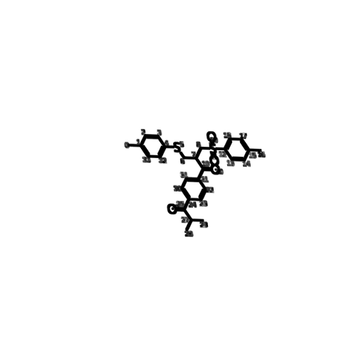 Cc1ccc(SCC(CS(=O)(=O)c2ccc(C)cc2)C(=O)c2ccc(C(=O)C(C)C)cc2)cc1